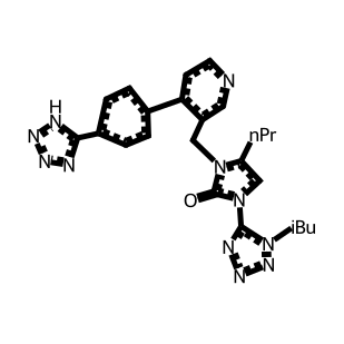 CCCc1cn(-c2nnnn2C(C)CC)c(=O)n1Cc1cnccc1-c1ccc(-c2nnn[nH]2)cc1